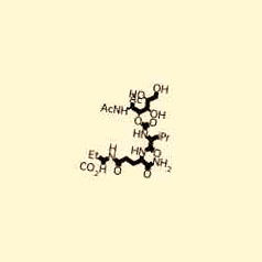 CCC(NC(=O)CCC(NC(=O)C(NC(=O)O[C@@H]([C@H](O)[C@H](O)CO)[C@@H](NC(C)=O)C(C)=O)C(C)C)C(N)=O)C(=O)O